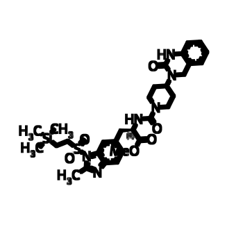 COC(=O)[C@@H](Cc1ccc2nc(C)n(S(=O)(=O)CC[Si](C)(C)C)c2c1)NC(=O)N1CCC(N2Cc3ccccc3NC2=O)CC1